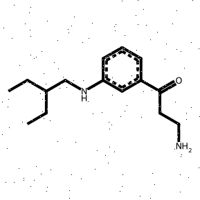 CCC(CC)CNc1cccc(C(=O)CCN)c1